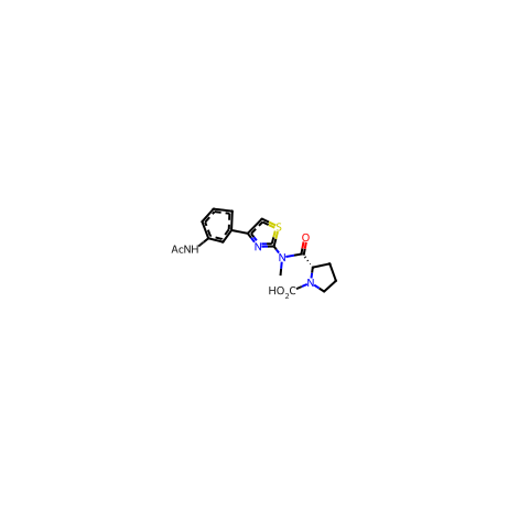 CC(=O)Nc1cccc(-c2csc(N(C)C(=O)[C@@H]3CCCN3C(=O)O)n2)c1